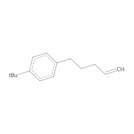 [CH]=CCCCc1ccc(C(C)(C)C)cc1